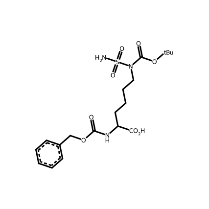 CC(C)(C)OC(=O)N(CCCCC(NC(=O)OCc1ccccc1)C(=O)O)S(N)(=O)=O